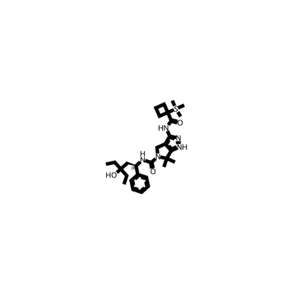 CCC(O)(CC)C[C@@H](NC(=O)N1Cc2c(NC(=O)C3(S(C)(C)C)CCC3)n[nH]c2C1(C)C)c1ccccc1